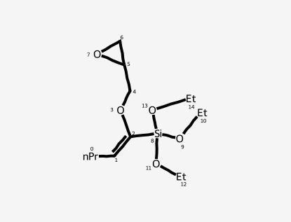 CCC/C=C(\OCC1CO1)[Si](OCC)(OCC)OCC